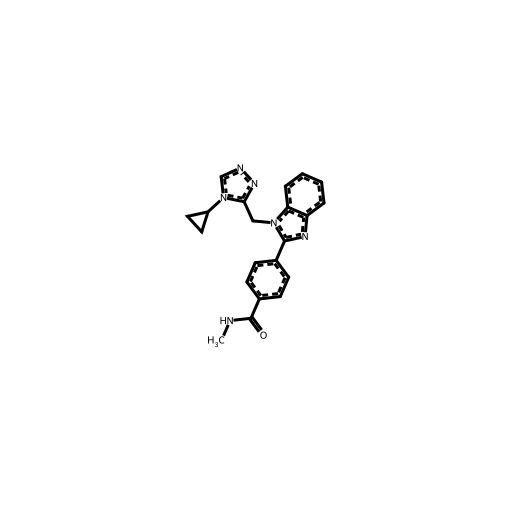 CNC(=O)c1ccc(-c2nc3ccccc3n2Cc2nncn2C2CC2)cc1